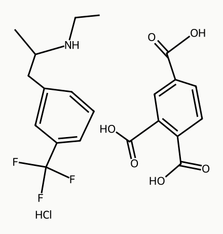 CCNC(C)Cc1cccc(C(F)(F)F)c1.Cl.O=C(O)c1ccc(C(=O)O)c(C(=O)O)c1